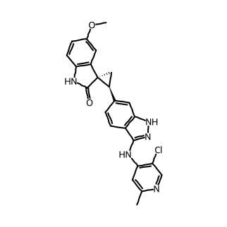 COc1ccc2c(c1)[C@]1(C[C@H]1c1ccc3c(Nc4cc(C)ncc4Cl)n[nH]c3c1)C(=O)N2